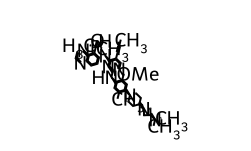 CC#Cc1cnc(Nc2cc(C)c(N3CCC(N4CC(N(C)C)C4)CC3)cc2OC)nc1Nc1ccc2nccnc2c1P(C)(C)=O